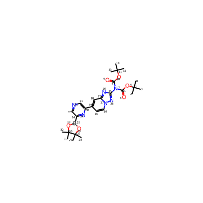 CC(C)(C)OC(=O)N(C(=O)OC(C)(C)C)c1nc2cc(-c3cncc(B4OC(C)(C)C(C)(C)O4)n3)ccn2n1